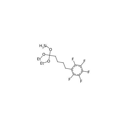 CCOC(CCCCc1c(F)c(F)c(F)c(F)c1F)(O[SiH3])OCC